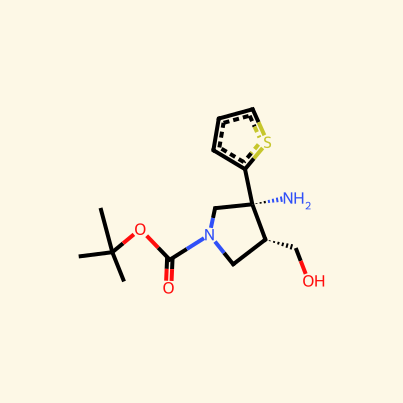 CC(C)(C)OC(=O)N1C[C@@H](CO)[C@](N)(c2cccs2)C1